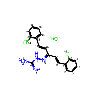 Cl.N=C(N)NN=C(C=Cc1ccccc1Cl)C=Cc1ccccc1Cl